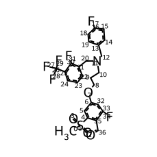 CS(=O)(=O)c1cc(OCCCN(Cc2ccc(F)cc2)Cc2cccc(C(F)(F)F)c2F)cc(F)c1C=O